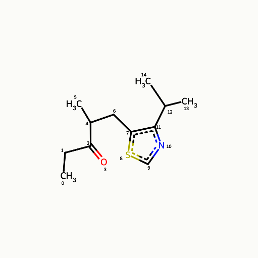 CCC(=O)C(C)Cc1scnc1C(C)C